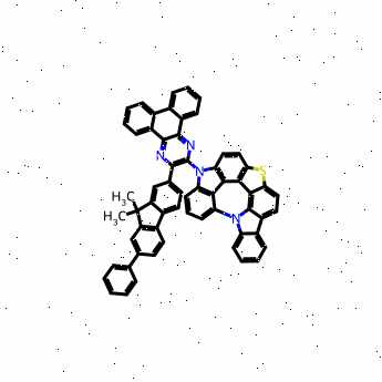 CC1(C)c2cc(-c3ccccc3)ccc2-c2ccc(-c3nc4c5ccccc5c5ccccc5c4nc3-n3c4ccc5sc6ccc7c8ccccc8n8c9cccc3c9c4c5c6c78)cc21